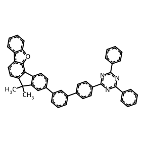 CC1(C)c2cc(-c3cccc(-c4ccc(-c5nc(-c6ccccc6)nc(-c6ccccc6)n5)cc4)c3)ccc2-c2c1ccc1c2oc2ccccc21